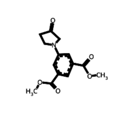 COC(=O)c1cc(C(=O)OC)cc(N2CCC(=O)C2)c1